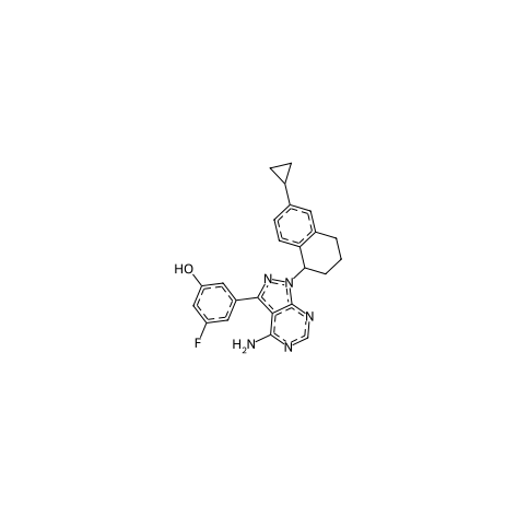 Nc1ncnc2c1c(-c1cc(O)cc(F)c1)nn2C1CCCc2cc(C3CC3)ccc21